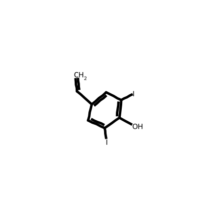 C=Cc1cc(I)c(O)c(I)c1